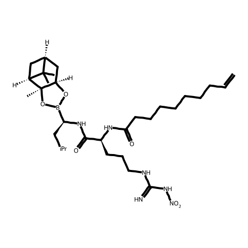 C=CCCCCCCCC(=O)N[C@@H](CCCNC(=N)N[N+](=O)[O-])C(=O)N[C@@H](CC(C)C)B1O[C@@H]2C[C@@H]3C[C@@H](C3(C)C)[C@]2(C)O1